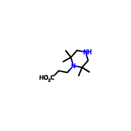 CC1(C)CNCC(C)(C)N1CCC(=O)O